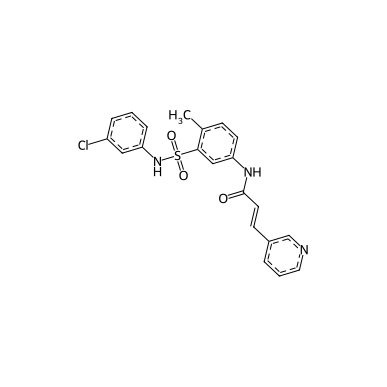 Cc1ccc(NC(=O)C=Cc2cccnc2)cc1S(=O)(=O)Nc1cccc(Cl)c1